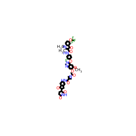 COc1cc2c(Oc3ccc(NC(=O)c4c(C)n(C)c5ccc(OC(F)(F)F)cc5c4=O)cc3F)ncnc2cc1OCC(=O)N1CC(C(=O)Nc2ccc3c(c2)CC(C2CCC(=O)NC2=O)C3=O)C1